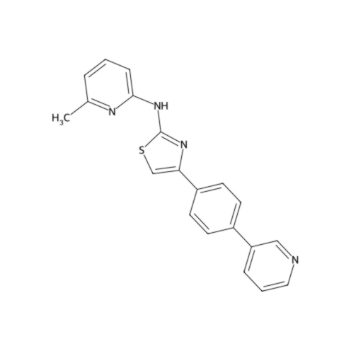 Cc1cccc(Nc2nc(-c3ccc(-c4cccnc4)cc3)cs2)n1